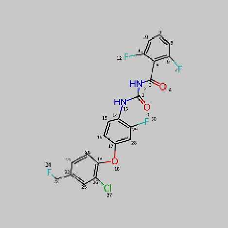 O=C(NC(=O)c1c(F)cccc1F)Nc1ccc(Oc2ccc(CF)cc2Cl)cc1F